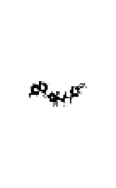 CCC(C(=O)Nc1cnc(C(F)(F)F)nc1)C1[C@H]2CC(Oc3ccnc4ccc(F)cc34)C[C@@H]12